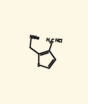 CNCc1sccc1C.Cl